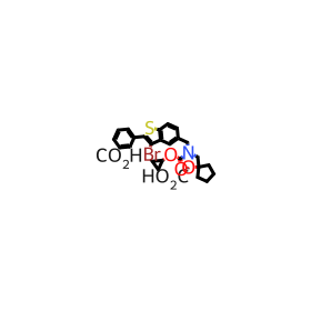 O=C(O)OC1(CN(Cc2ccc3sc(-c4ccccc4C(=O)O)c(Br)c3c2)C(=O)OC2CC2)CCCC1